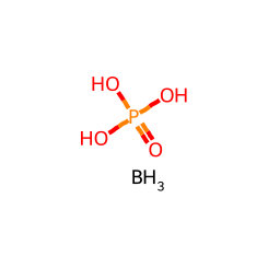 B.O=P(O)(O)O